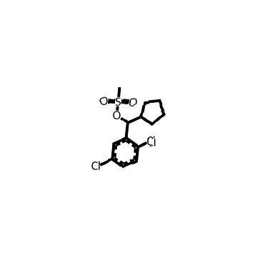 CS(=O)(=O)OC(c1cc(Cl)ccc1Cl)C1CCCC1